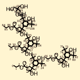 CCCOC(=O)CCC(C)(C(O)=S)c1cc(C(C)(C)C)c(O)c(C(C)(C)C)c1.CCCOC(=O)CCC(C)(C(O)=S)c1cc(C(C)(C)C)c(O)c(C(C)(C)C)c1.CCCOC(=O)CCC(C)(C(O)=S)c1cc(C(C)(C)C)c(O)c(C(C)(C)C)c1.CCCOC(=O)CCC(C)(C(O)=S)c1cc(C(C)(C)C)c(O)c(C(C)(C)C)c1.OCC(CO)(CO)CO